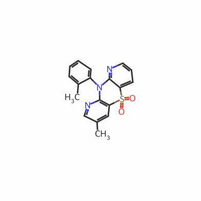 Cc1cnc2c(c1)S(=O)(=O)c1cccnc1N2c1ccccc1C